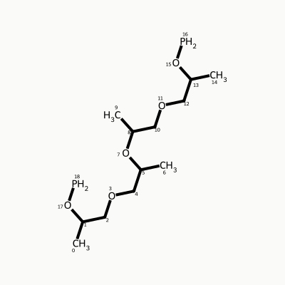 CC(COCC(C)OC(C)COCC(C)OP)OP